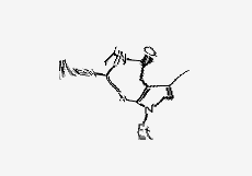 CCn1cc(C)c2c(=O)[nH]c(NC)nc21